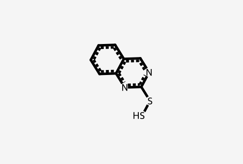 SSc1ncc2ccccc2n1